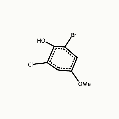 COc1cc(Cl)c(O)c(Br)c1